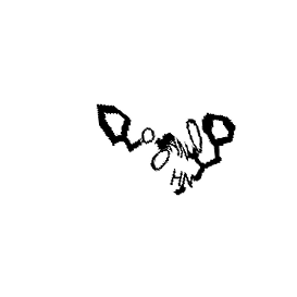 CCNCC(Cc1ccccc1)C(=O)NCC(=O)OCc1ccccc1